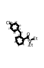 CCN(CC)C(=O)c1ccccc1Cc1ccc(Cl)cc1